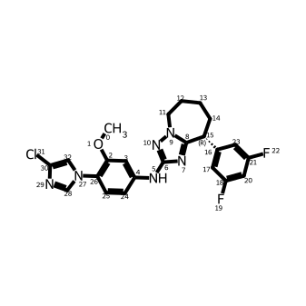 COc1cc(Nc2nc3n(n2)CCCC[C@@H]3c2cc(F)cc(F)c2)ccc1-n1cnc(Cl)c1